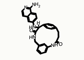 Nc1nccc2cc(N[C@H]3C(=O)NCc4cccc(c4)NC(=O)CCc4ccc3cc4)ccc12